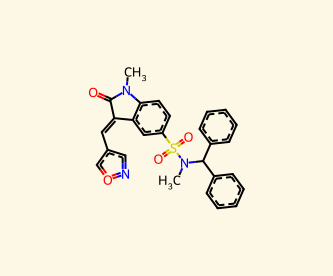 CN1C(=O)/C(=C/c2cnoc2)c2cc(S(=O)(=O)N(C)C(c3ccccc3)c3ccccc3)ccc21